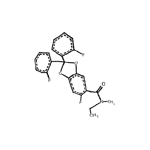 CCN(C)C(=O)c1cc2c(cc1F)OC(c1ccccc1F)(c1ccccc1F)O2